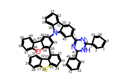 c1ccc(C2=NC(c3ccc4c5ccccc5n(-c5cc(-c6cccc7sc8ccccc8c67)c6oc7ccccc7c6c5)c4c3)=NC(c3ccccc3)N2)cc1